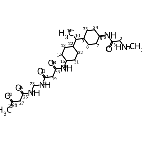 CNCC(=O)NC1CCC(C(C)C2CCC(NC(=O)CC(=O)NCNC(=O)CC(C)=O)CC2)CC1